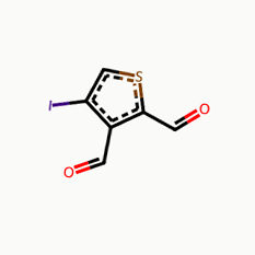 O=Cc1scc(I)c1C=O